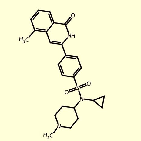 Cc1cccc2c(=O)[nH]c(-c3ccc(S(=O)(=O)N(C4CC4)C4CCN(C)CC4)cc3)cc12